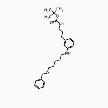 CC(C)(C)OC(=O)NCCCc1cccc(NCCCCCOCc2ccccc2)c1